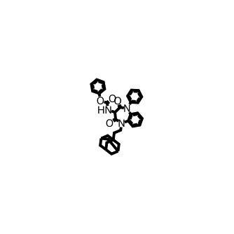 O=C(NC1C(=O)N(CCC23CC4CC(CC(C4)C2)C3)c2ccccc2N(c2ccccc2)C1=O)Oc1ccccc1